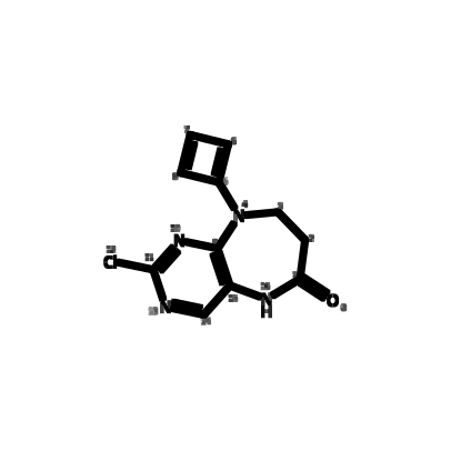 O=C1CCN(C2=CC=C2)c2nc(Cl)ncc2N1